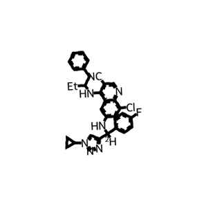 [2H]C(Nc1cc(Cl)c2ncc(C#N)c(NC(CC)Cc3ccccc3)c2c1)(c1ccc(F)cc1)c1cn(C2CC2)nn1